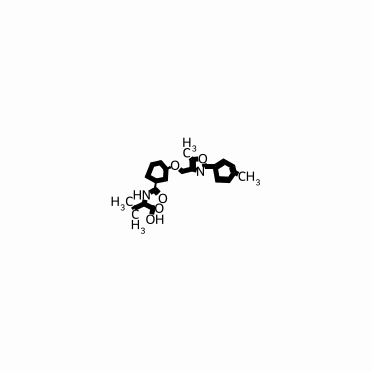 Cc1ccc(-c2nc(CO[C@@H]3CCC[C@H](C(=O)NC(C(=O)O)C(C)C)C3)c(C)o2)cc1